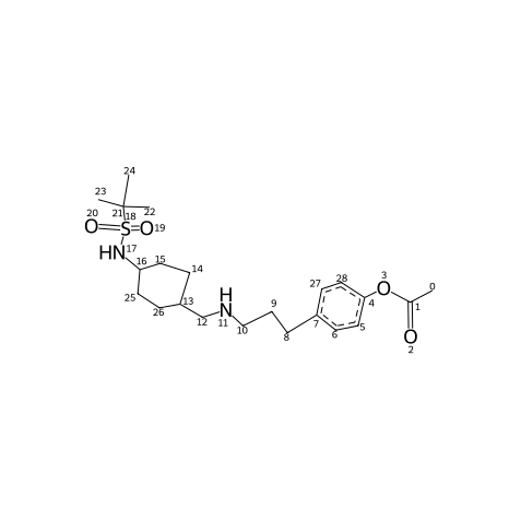 CC(=O)Oc1ccc(CCCNCC2CCC(NS(=O)(=O)C(C)(C)C)CC2)cc1